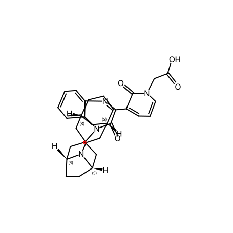 O=C(O)Cn1cccc(-c2nc3ccccc3n(C3C[C@H]4CC[C@@H](C3)N4C3C[C@H]4CCC[C@@H](C3)C4)c2=O)c1=O